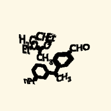 C=C.CCCC1CCCC(C(C)c2ccc(C=O)cc2)C1.CCOC(C)OCC